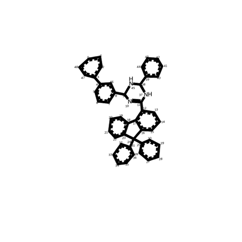 c1ccc(-c2cccc(C3N=C(c4cccc5c4-c4ccccc4C5(c4ccccc4)c4ccccc4)NC(c4ccccc4)N3)c2)cc1